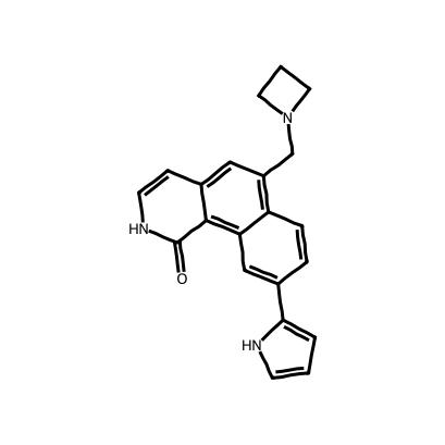 O=c1[nH]ccc2cc(CN3CCC3)c3ccc(-c4ccc[nH]4)cc3c12